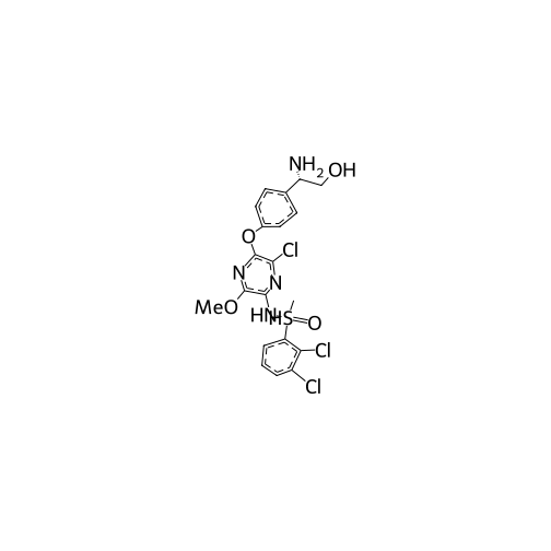 COc1nc(Oc2ccc([C@H](N)CO)cc2)c(Cl)nc1N[SH](C)(=O)c1cccc(Cl)c1Cl